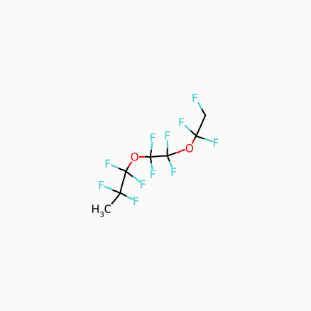 CC(F)(F)C(F)(F)OC(F)(F)C(F)(F)OC(F)(F)CF